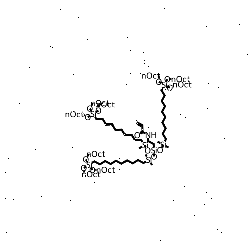 C=CC(=O)NCC[Si](O[Si](C)(C)CCCCCCCCCC[Si](OCCCCCCCC)(OCCCCCCCC)OCCCCCCCC)(O[Si](C)(C)CCCCCCCCCC[Si](OCCCCCCCC)(OCCCCCCCC)OCCCCCCCC)O[Si](C)(C)CCCCCCCCCC[Si](OCCCCCCCC)(OCCCCCCCC)OCCCCCCCC